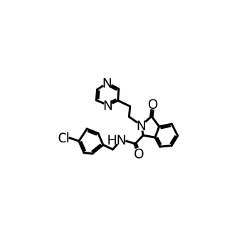 O=C(NCc1ccc(Cl)cc1)C1c2ccccc2C(=O)N1CCc1cnccn1